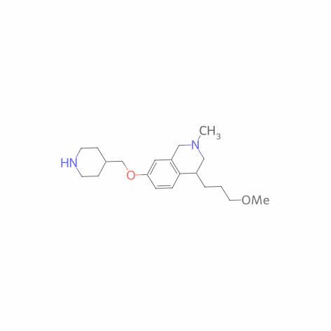 COCCCC1CN(C)Cc2cc(OCC3CCNCC3)ccc21